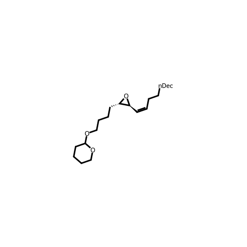 CCCCCCCCCCCC/C=C\[C@@H]1O[C@H]1CCCCOC1CCCCO1